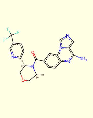 C[C@@H]1COC[C@H](c2ccc(C(F)(F)F)cn2)N1C(=O)c1ccc2nc(N)c3cncn3c2c1